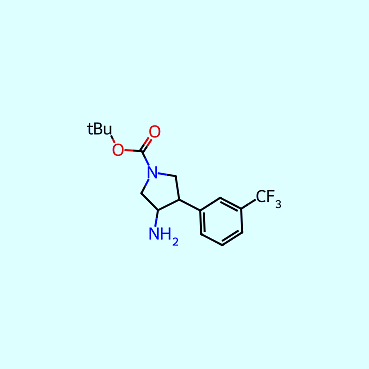 CC(C)(C)OC(=O)N1CC(N)C(c2cccc(C(F)(F)F)c2)C1